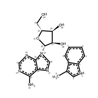 Cc1c[nH]c2ccccc12.Nc1ncnc2c1ncn2[C@@H]1O[C@H](CO)[C@@H](O)[C@H]1O